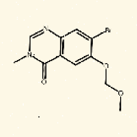 COCOc1cc2c(=O)n(C)cnc2cc1Br